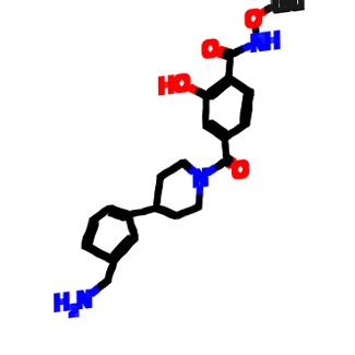 CC(C)(C)ONC(=O)c1ccc(C(=O)N2CCC(c3cccc(CN)c3)CC2)cc1O